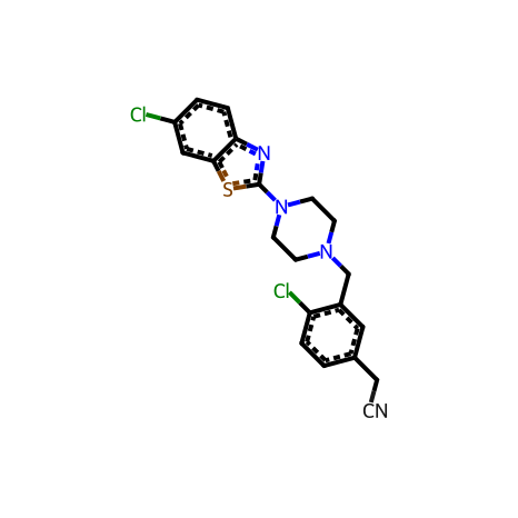 N#CCc1ccc(Cl)c(CN2CCN(c3nc4ccc(Cl)cc4s3)CC2)c1